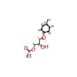 CCC(=O)OCC(O)COc1ccc(C)cc1